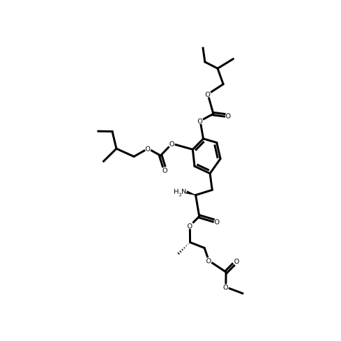 CCC(C)COC(=O)Oc1ccc(C[C@H](N)C(=O)O[C@@H](C)COC(=O)OC)cc1OC(=O)OCC(C)CC